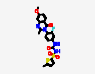 COc1ccc2c(=O)n(-c3ccc(NC(=O)NS(=O)(=O)c4ccc(C)s4)cc3F)c(C)nc2c1